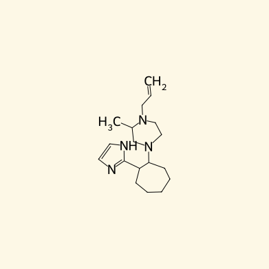 C=CCN1CCN(C2CCCCCC2c2ncc[nH]2)CC1C